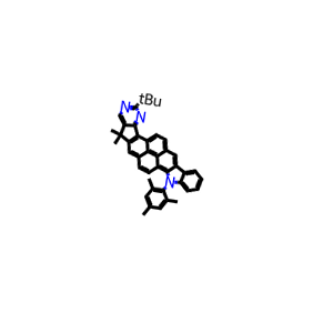 Cc1cc(C)c(-n2c3ccccc3c3cc4ccc5c6c(cc7ccc(c4c75)c32)C(C)(C)c2cnc(C(C)(C)C)nc2-6)c(C)c1